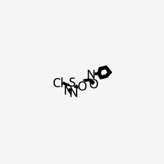 CN(C(=O)COc1nnc(Cl)s1)c1ccccc1